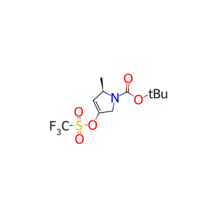 C[C@@H]1C=C(OS(=O)(=O)C(F)(F)F)CN1C(=O)OC(C)(C)C